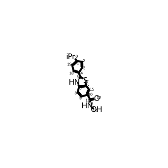 CC(C)c1ccc(C2Nc3ccc(C(=O)NO)cc3S2)cc1